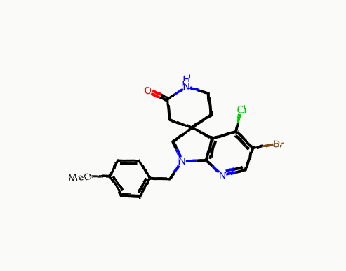 COc1ccc(CN2CC3(CCNC(=O)C3)c3c2ncc(Br)c3Cl)cc1